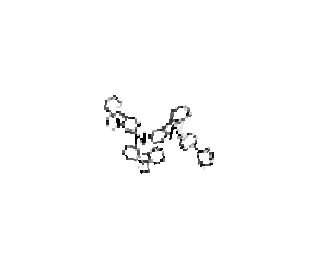 c1ccc(-c2ccc(-n3c4ccccc4c4cc(N(c5ccc6c(c5)oc5ccccc56)c5cccc6oc7ccccc7c56)ccc43)cc2)cc1